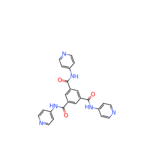 O=C(Nc1ccncc1)c1cc(C(=O)Nc2ccncc2)cc(C(=O)Nc2ccncc2)c1